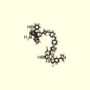 Cc1ncsc1-c1ccc([C@H](C)NC(=O)[C@@H]2C[C@@H](O)CN2C(=O)[C@@H](c2cc(N3CCC(CN4CCC(O[C@H]5C[C@H](N6CCC(O)(CN7C8CCC7CN(c7cc(-c9ccccc9O)nnc7N)C8)CC6)C5)CC4)CC3)no2)C(C)C)cc1